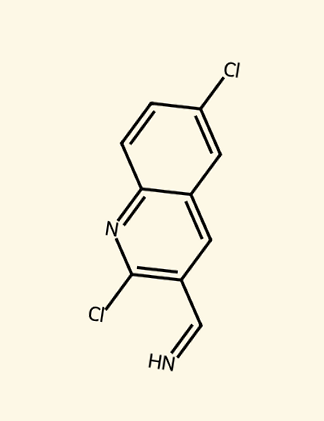 N=Cc1cc2cc(Cl)ccc2nc1Cl